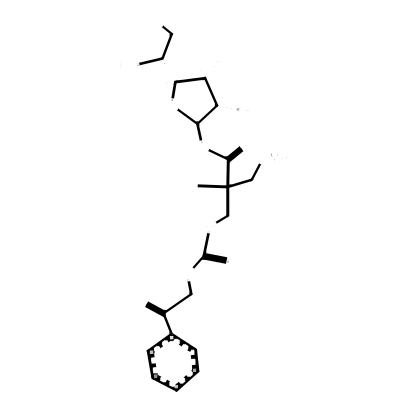 COCC(C)(COC(=O)OCC(=O)c1ccccc1)C(=O)OC1O[C@H](C(O)CO)[C@H](O)[C@@H]1O